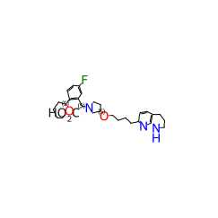 O=C(O)[C@H](c1cc(F)ccc1[C@@H]1CCCCO1)N1CC[C@H](OCCCCc2ccc3c(n2)NCCC3)C1